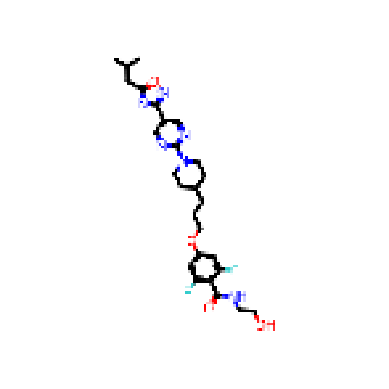 CC(C)Cc1nc(-c2cnc(N3CCC(CCCOc4cc(F)c(C(=O)NCCO)c(F)c4)CC3)nc2)no1